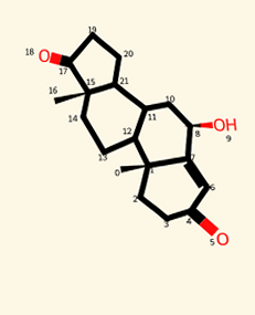 C[C@]12CCC(=O)C=C1[C@H](O)CC1C2CC[C@]2(C)C(=O)CCC12